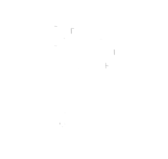 CCO[Si](C)(C)c1ccc(-c2cc(C(F)(F)F)cc(C(F)(F)F)c2)cc1